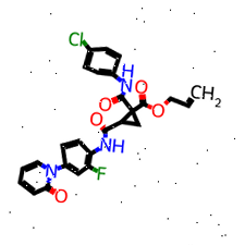 C=CCOC(=O)C1(C(=O)Nc2ccc(Cl)cc2)CC1C(=O)Nc1ccc(-n2ccccc2=O)cc1F